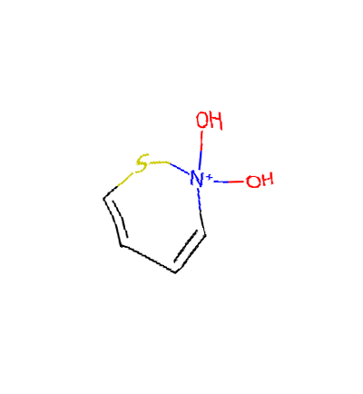 O[N+]1(O)C=CC=CS1